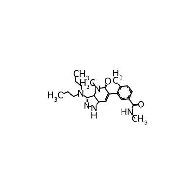 CCCN(CCC)C1=NNC2C=C(c3cc(C(=O)NC)ccc3C)C(=O)N(C)C12